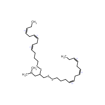 CC/C=C\C/C=C\C/C=C\CCCSSCC(CN(C)C)SSCCC/C=C\C/C=C\C/C=C\CC